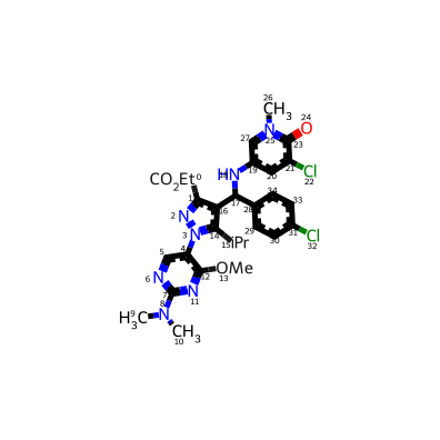 CCOC(=O)c1nn(-c2cnc(N(C)C)nc2OC)c(C(C)C)c1C(Nc1cc(Cl)c(=O)n(C)c1)c1ccc(Cl)cc1